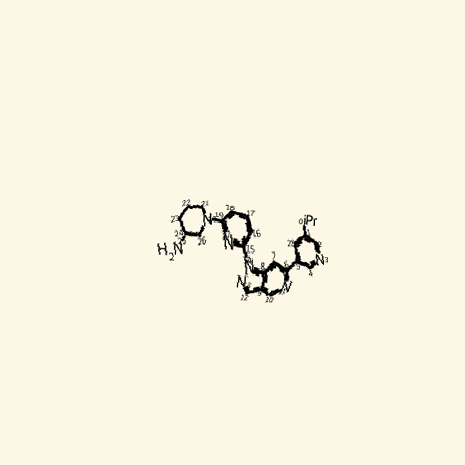 CC(C)c1cncc(-c2cc3c(cn2)cnn3-c2cccc(N3CCC[C@H](N)C3)n2)c1